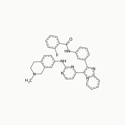 CN1CCc2ccc(Nc3nccc(-c4c(-c5cccc(NC(=O)c6ccccc6F)c5)nc5ccccn45)n3)cc2C1